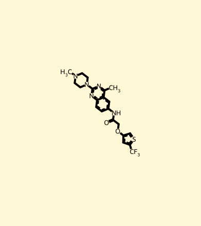 Cc1nc(N2CCN(C)CC2)nc2ccc(NC(=O)COc3csc(C(F)(F)F)c3)cc12